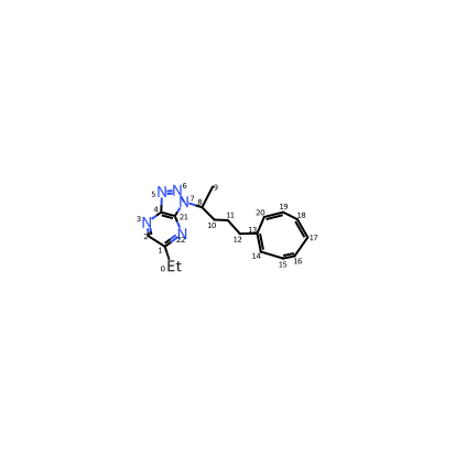 CCc1cnc2nnn(C(C)CCCC3=C/C=C\C=C/C=C\3)c2n1